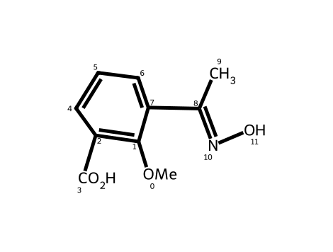 COc1c(C(=O)O)cccc1C(C)=NO